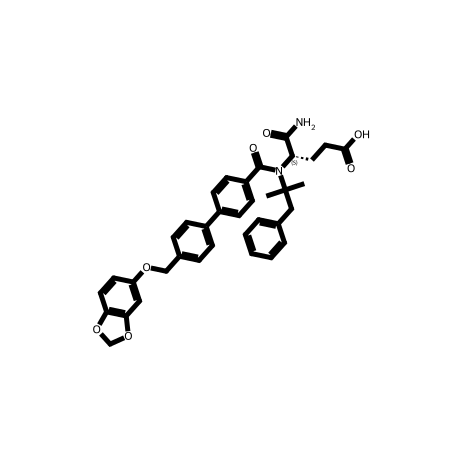 CC(C)(Cc1ccccc1)N(C(=O)c1ccc(-c2ccc(COc3ccc4c(c3)OCO4)cc2)cc1)[C@@H](CCC(=O)O)C(N)=O